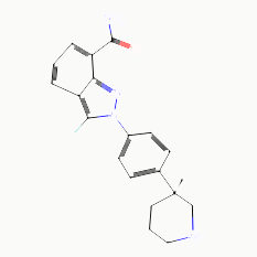 C[C@]1(c2ccc(-n3nc4c(C(N)=O)cccc4c3F)cc2)CCCNC1